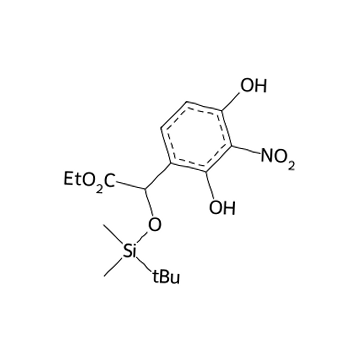 CCOC(=O)C(O[Si](C)(C)C(C)(C)C)c1ccc(O)c([N+](=O)[O-])c1O